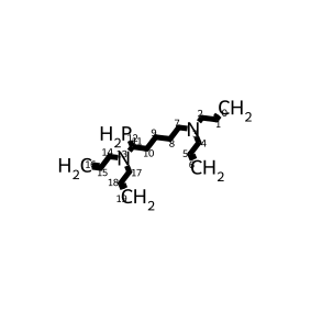 C=CCN(CC=C)CCCCC(P)N(CC=C)CC=C